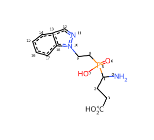 NC(CCC(=O)O)P(=O)(O)CCn1ncc2ccccc21